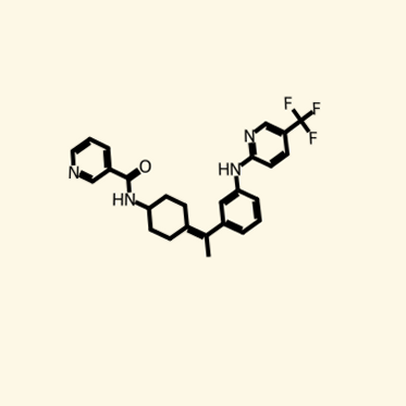 CC(=C1CCC(NC(=O)c2cccnc2)CC1)c1cccc(Nc2ccc(C(F)(F)F)cn2)c1